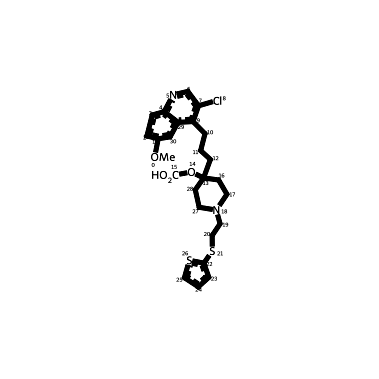 COc1ccc2ncc(Cl)c(CCCC3(OC(=O)O)CCN(CCSc4cccs4)CC3)c2c1